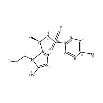 CCCn1c(S)nnc1[C@@H](C)NS(=O)(=O)c1ccc(Cl)cc1